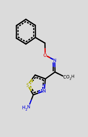 Nc1nc(/C(=N\OCc2ccccc2)C(=O)O)cs1